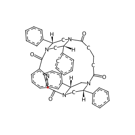 O=C1CCCC(=O)N2C[C@@H](c3ccccc3)N(C[C@H]2c2ccccc2)C(=O)c2cccc(n2)C(=O)N2C[C@@H](c3ccccc3)N1C[C@H]2c1ccccc1